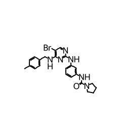 Cc1ccc(CNc2nc(Nc3cccc(NC(=O)N4CCCC4)c3)ncc2Br)cc1